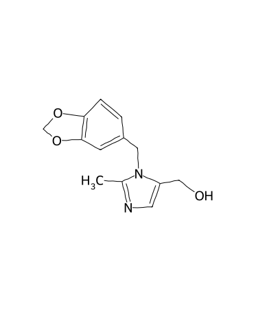 Cc1ncc(CO)n1Cc1ccc2c(c1)OCO2